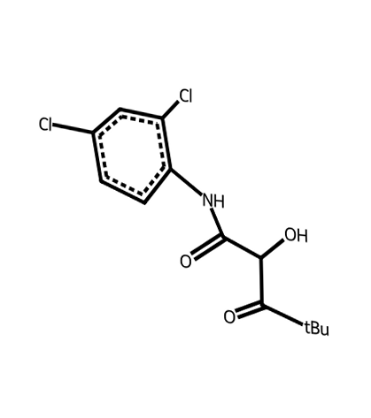 CC(C)(C)C(=O)C(O)C(=O)Nc1ccc(Cl)cc1Cl